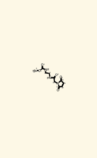 CC(C)(C)OC(=O)NCCNC(=O)CN1C(=O)C=CC1=O